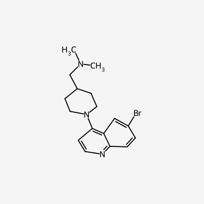 CN(C)CC1CCN(c2ccnc3ccc(Br)cc23)CC1